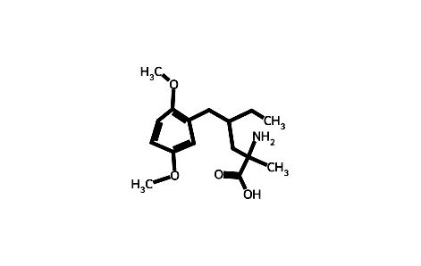 CCC(Cc1cc(OC)ccc1OC)CC(C)(N)C(=O)O